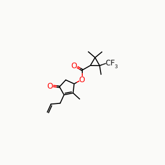 C=CCC1=C(C)C(OC(=O)C2C(C)(C)C2(C)C(F)(F)F)CC1=O